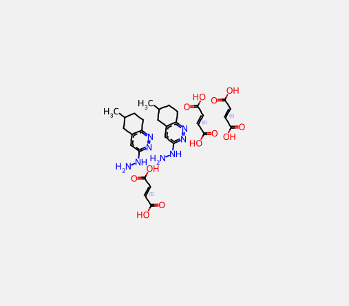 CC1CCc2nnc(NN)cc2C1.CC1CCc2nnc(NN)cc2C1.O=C(O)/C=C/C(=O)O.O=C(O)/C=C/C(=O)O.O=C(O)/C=C/C(=O)O